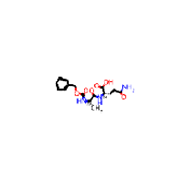 C[C@H](NC(=O)OCc1ccccc1)C(=O)N[C@@H](CCC(N)=O)C(=O)O